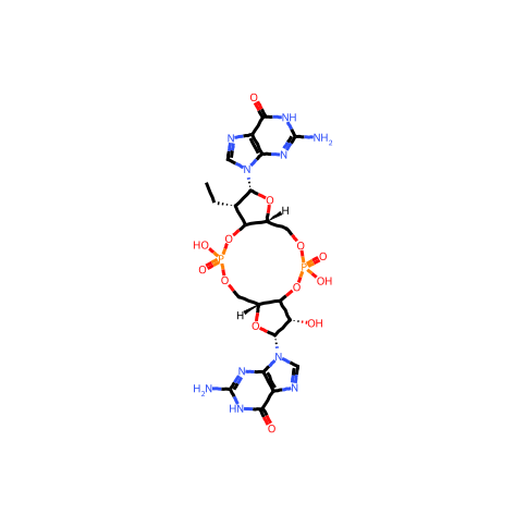 CC[C@H]1C2OP(=O)(O)OC[C@H]3O[C@@H](n4cnc5c(=O)[nH]c(N)nc54)[C@@H](O)C3OP(=O)(O)OC[C@H]2O[C@H]1n1cnc2c(=O)[nH]c(N)nc21